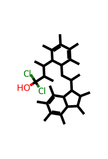 CC1=C(C)C(CC(C)C2C(C)C(C)C3C(C)=C(C)C(C)=C(C)C32)C(C(C)C(C)C(O)(Cl)Cl)C(C)=C1C